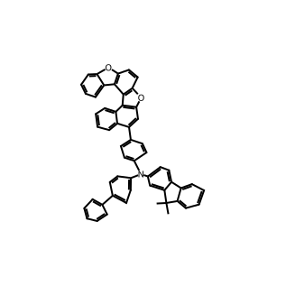 CC1(C)c2ccccc2-c2ccc(N(c3ccc(-c4ccccc4)cc3)c3ccc(-c4cc5oc6ccc7oc8ccccc8c7c6c5c5ccccc45)cc3)cc21